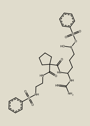 N=C(N)NC(CCCB(O)OS(=O)(=O)c1ccccc1)NC(=O)C1(C(=O)NCCNS(=O)(=O)c2ccccc2)CCCC1